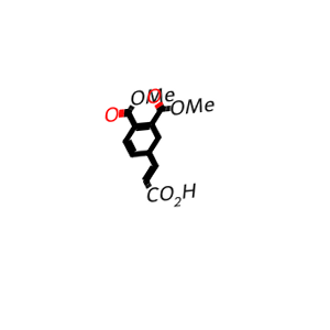 COC(=O)C1=C(C(=O)OC)CC(C=CC(=O)O)C=C1